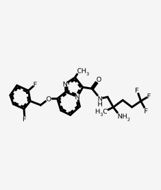 Cc1nc2c(OCc3c(F)cccc3F)cccn2c1C(=O)NCC(C)(N)CCC(F)(F)F